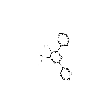 Nc1c(-c2ccccn2)cc(-c2cccnc2)cc1[N+](=O)[O-]